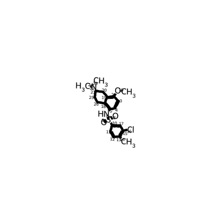 COc1ccc(NS(=O)(=O)c2ccc(C)c(Cl)c2)c2c1C[C@@H](N(C)C)CC2